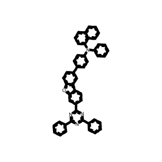 c1ccc(-c2nc(-c3ccccc3)nc(-c3ccc4c(c3)oc3ccc(-c5ccc(N(c6ccccc6)c6cccc7ccccc67)cc5)cc34)n2)cc1